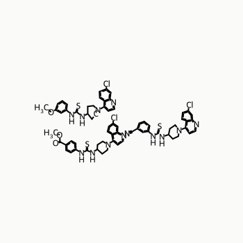 COC(=O)c1ccc(NC(=S)NC2CCN(c3ccnc4cc(Cl)ccc34)CC2)cc1.COc1cccc(NC(=S)NC2CCN(c3ccnc4cc(Cl)ccc34)CC2)c1.N#Cc1cccc(NC(=S)NC2CCN(c3ccnc4cc(Cl)ccc34)CC2)c1